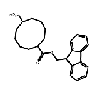 O=C(O)C1CCCCC(C(=O)OCC2c3ccccc3-c3ccccc32)CCCC1